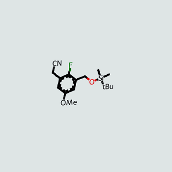 COc1cc(CC#N)c(F)c(CO[Si](C)(C)C(C)(C)C)c1